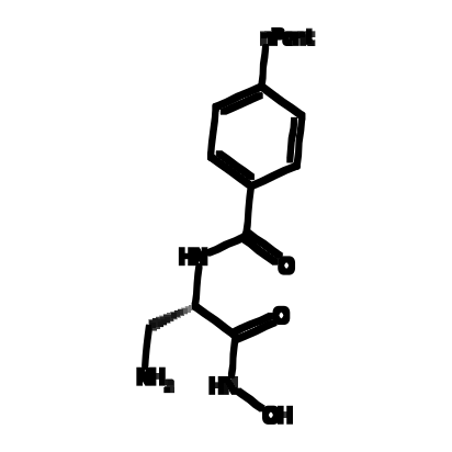 CCCCCc1ccc(C(=O)N[C@@H](CN)C(=O)NO)cc1